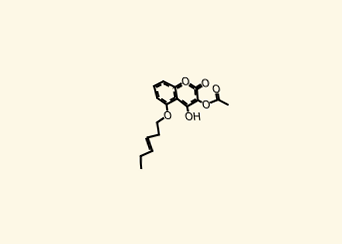 CCC=CCCOc1cccc2oc(=O)c(OC(C)=O)c(O)c12